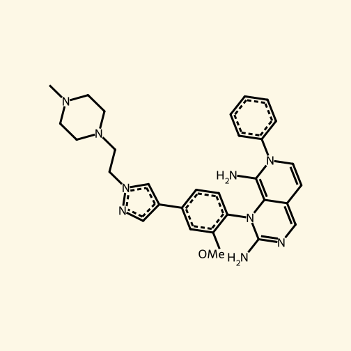 COc1cc(-c2cnn(CCN3CCN(C)CC3)c2)ccc1N1C(N)=NC=C2C=CN(c3ccccc3)C(N)=C21